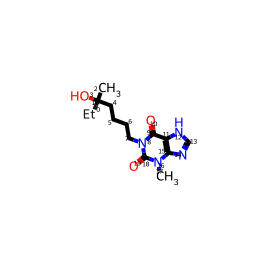 CCC(C)(O)CCCCn1c(=O)c2[nH]cnc2n(C)c1=O